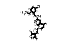 Cc1ccn(NCc2c(C)noc2C)c(=O)c1CC(=O)NCc1cc(Cl)ccc1CN